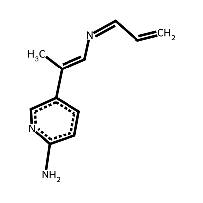 C=C/C=N\C=C(/C)c1ccc(N)nc1